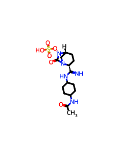 CC(=O)NC1CCC(NC(=N)[C@@H]2CC[C@@H]3CN2C(=O)N3OS(=O)(=O)O)CC1